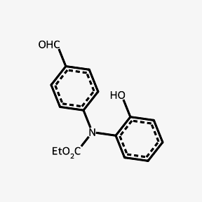 CCOC(=O)N(c1ccc(C=O)cc1)c1ccccc1O